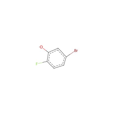 [O]c1cc(Br)ccc1F